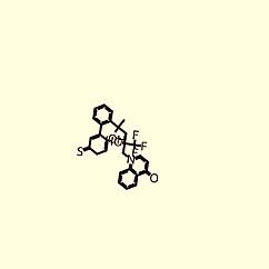 CC(C)(CC(O)(Cn1ccc(=O)c2ccccc21)C(F)(F)F)c1ccccc1C1=CC(=S)CC=C1O